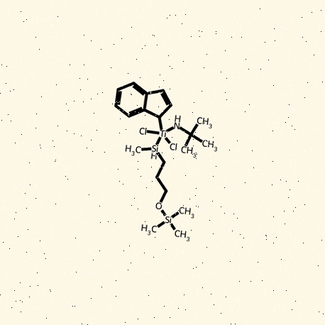 C[SiH](CCCO[Si](C)(C)C)[Ti]([Cl])([Cl])([NH]C(C)(C)C)[CH]1C=Cc2ccccc21